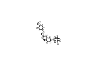 COc1ccc(COc2cnc3ccc(B4OC(C)(C)C(C)(C)O4)cc3c2)cc1